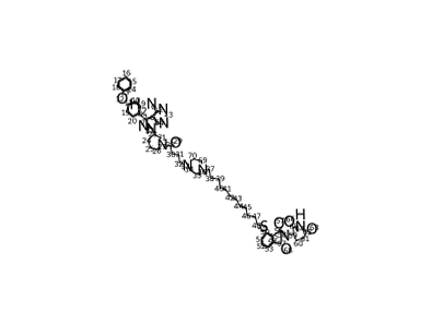 Nc1ncnc2c1c(-c1ccc(Oc3ccccc3)cc1)nn2C1CCCN(C(=O)CCCN2CCN(CCCCCCCCCCCCSc3cccc4c3C(=O)N(C3CCC(=O)NC3=O)C4=O)CC2)C1